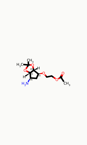 CC(=O)OCCO[C@H]1C[C@@H](N)[C@@H]2OC(C)(C)O[C@@H]21